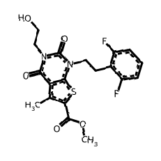 COC(=O)c1sc2c(c1C)c(=O)n(CCO)c(=O)n2CCc1c(F)cccc1F